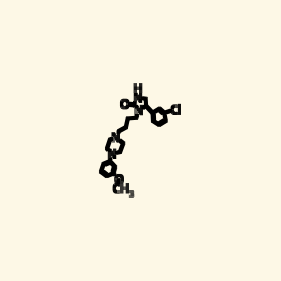 COc1cccc(N2CCN(CCCCN3C(=O)NCC3c3cccc(Cl)c3)CC2)c1